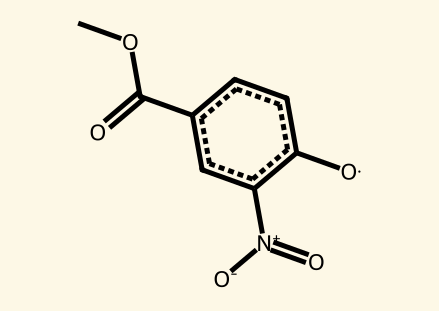 COC(=O)c1ccc([O])c([N+](=O)[O-])c1